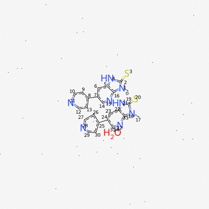 Cn1c(=S)[nH]c2cc(-c3ccncc3)cnc21.Cn1c(=S)[nH]c2cc(-c3ccncc3)cnc21.O